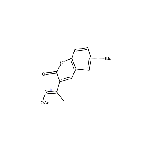 CC(=O)O/N=C(\C)c1cc2cc(C(C)(C)C)ccc2oc1=O